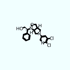 OC[C@H](c1ccccc1)N1OC[C@H]2CN(c3cnc(Cl)c(Cl)c3)C[C@H]21